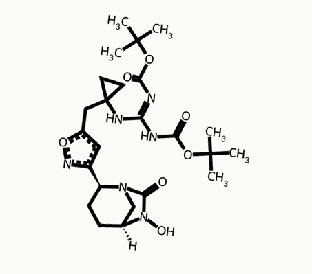 CC(C)(C)OC(=O)/N=C(/NC(=O)OC(C)(C)C)NC1(Cc2cc([C@@H]3CC[C@H]4CN3C(=O)N4O)no2)CC1